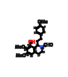 COc1ccc(CCC2c3c(cc(OC)c(OC)c3O)CCN2C=O)cc1